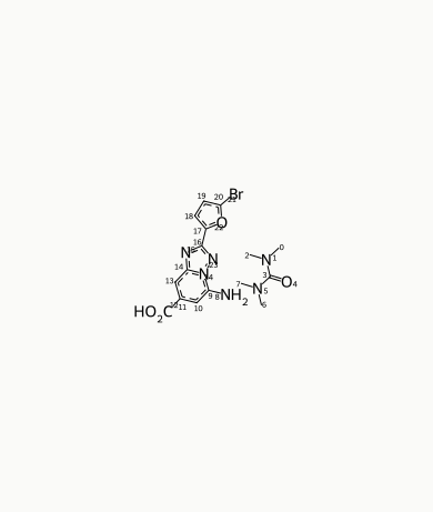 CN(C)C(=O)N(C)C.Nc1cc(C(=O)O)cc2nc(-c3ccc(Br)o3)nn12